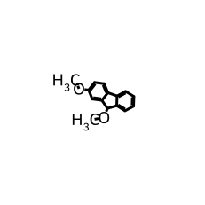 COc1ccc2c(c1)C(OC)c1ccccc1-2